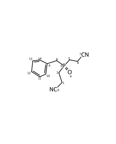 N#CCCP(=O)(CCC#N)Cc1ccccc1